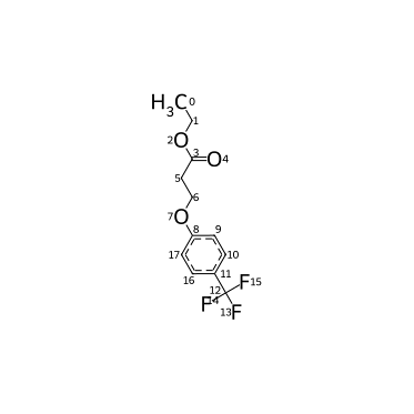 CCOC(=O)CCOc1ccc(C(F)(F)F)cc1